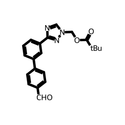 CC(C)(C)C(=O)OCn1cnc(-c2cccc(-c3ccc(C=O)cc3)c2)n1